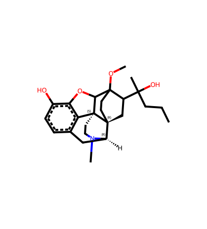 CCCC(C)(O)C1C[C@]23CCC1(OC)C1Oc4c(O)ccc5c4[C@@]12CCN(C)[C@@H]3C5